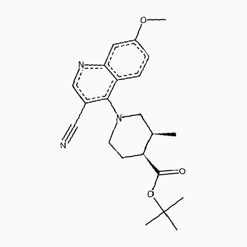 COc1ccc2c(N3CC[C@H](C(=O)OC(C)(C)C)[C@H](C)C3)c(C#N)cnc2c1